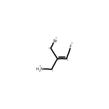 NCC(=CF)CBr